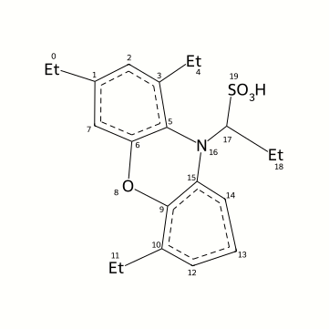 CCc1cc(CC)c2c(c1)Oc1c(CC)cccc1N2C(CC)S(=O)(=O)O